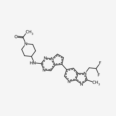 CC(=O)N1CCC(Nc2ncc3c(-c4cnc5nc(C)n(CC(F)F)c5c4)ccn3n2)CC1